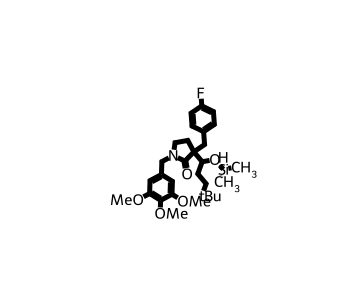 COc1cc(CN2CCC(Cc3ccc(F)cc3)(C(CCC(C)(C)C)O[SiH](C)C)C2=O)cc(OC)c1OC